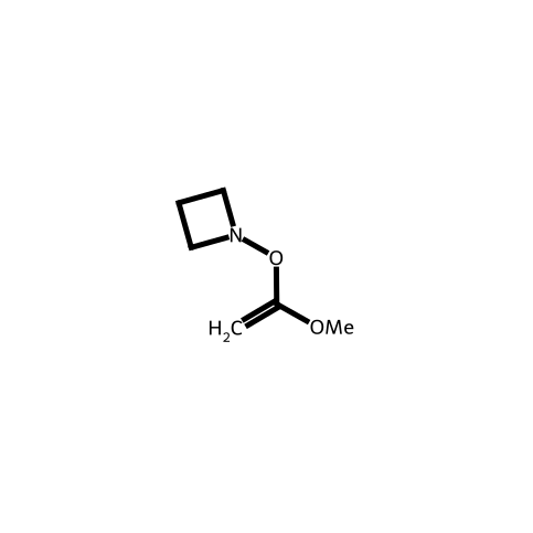 C=C(OC)ON1CCC1